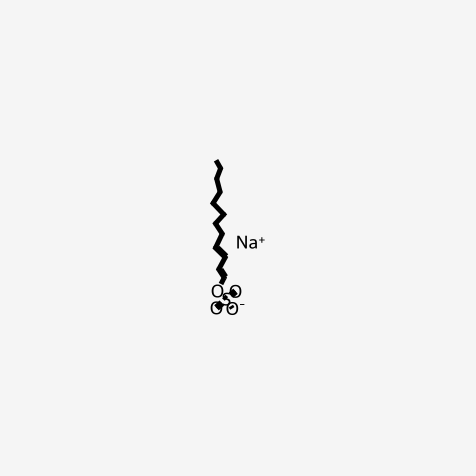 CCCCCCCCC=CC=COS(=O)(=O)[O-].[Na+]